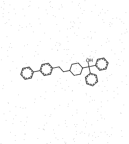 OC(c1ccccc1)(c1ccccc1)C1CCC(CCc2ccc(-c3ccccc3)cc2)CC1